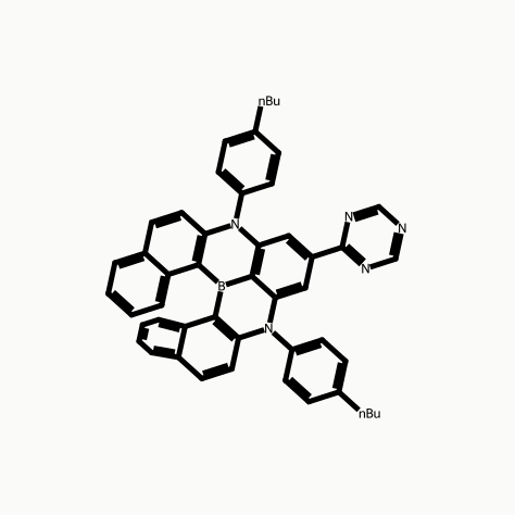 CCCCc1ccc(N2c3cc(-c4ncncn4)cc4c3B(c3c2ccc2ccccc32)c2c(ccc3ccccc23)N4c2ccc(CCCC)cc2)cc1